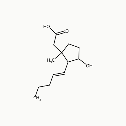 CCCC=CC1C(O)CCC1(C)CC(=O)O